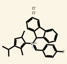 CC1=[C](/[Zr+2](=[CH]/c2ccc(F)cc2)[CH]2c3ccccc3-c3ccccc32)C(C)C=C1C(C)C.[Cl-].[Cl-]